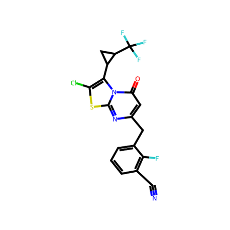 N#Cc1cccc(Cc2cc(=O)n3c(C4CC4C(F)(F)F)c(Cl)sc3n2)c1F